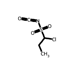 CCC(Cl)S(=O)(=O)N=C=O